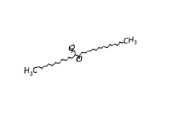 CCCCCCCCCCCCCCCCCC(=O)C(C[C]=O)CCCCCCCCCCCCC